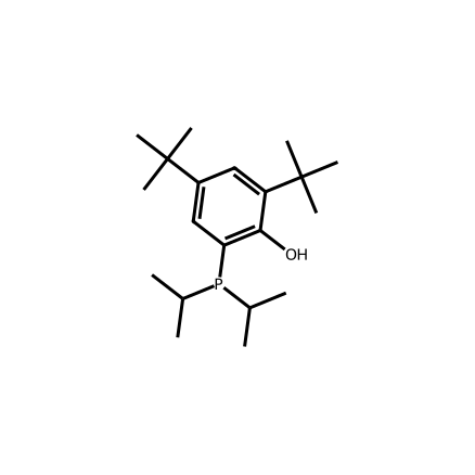 CC(C)P(c1cc(C(C)(C)C)cc(C(C)(C)C)c1O)C(C)C